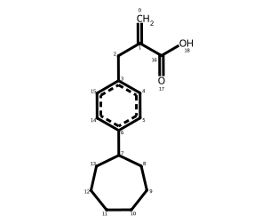 C=C(Cc1ccc(C2CCCCCC2)cc1)C(=O)O